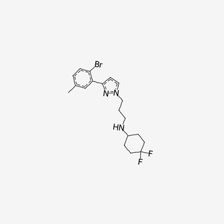 Cc1ccc(Br)c(-c2ccn(CCCNC3CCC(F)(F)CC3)n2)c1